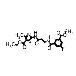 CCOC(=O)c1sc(NC(=O)CCNC(=O)c2cc(F)cc(C(=O)OC)c2)nc1C